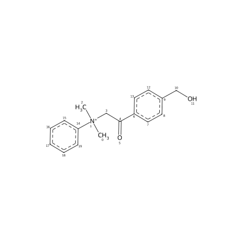 C[N+](C)(CC(=O)c1ccc(CO)cc1)c1ccccc1